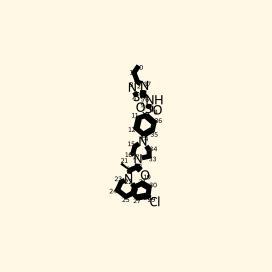 CCc1nsc(NS(=O)(=O)c2ccc(N3CCN(C(=O)[C@H](C)N4CCCc5cc(Cl)ccc54)CC3)cc2)n1